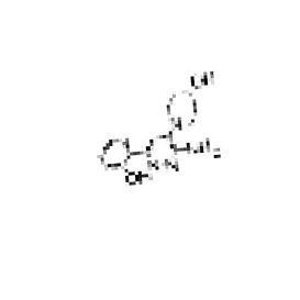 Nc1nnc(-c2ccccc2O)cc1N1CCC(O)CC1